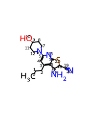 CCCc1cc(N2CCC(O)CC2)nc2c1C(N)C(C#N)S2